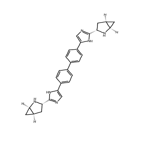 c1cc(-c2cnc([C@@H]3C[C@H]4C[C@H]4N3)[nH]2)ccc1-c1ccc(-c2cnc([C@@H]3C[C@H]4C[C@H]4N3)[nH]2)cc1